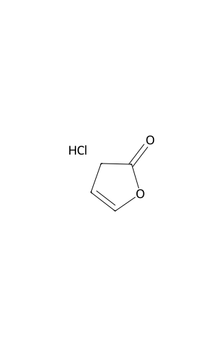 Cl.O=C1CC=CO1